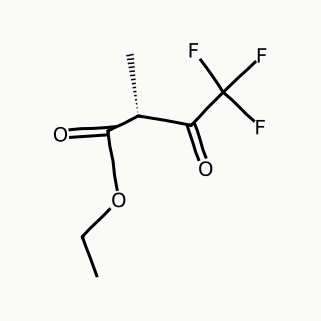 CCOC(=O)[C@H](C)C(=O)C(F)(F)F